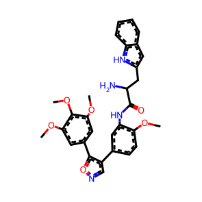 COc1ccc(-c2cnoc2-c2cc(OC)c(OC)c(OC)c2)cc1NC(=O)C(N)Cc1cc2ccccc2[nH]1